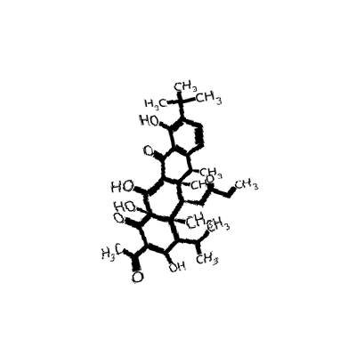 CCC(=O)C[C@@H]1[C@]2(C)C(=C(O)[C@@]3(O)C(=O)C(C(C)=O)=C(O)C(C(C)C)[C@@]13C)C(=O)c1c(ccc(C(C)(C)C)c1O)[C@H]2C